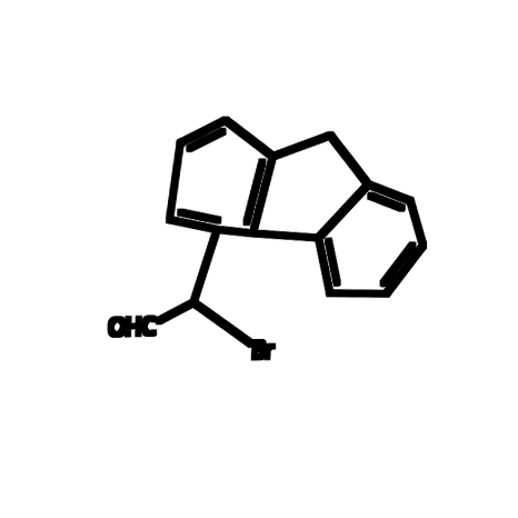 O=CC(Br)c1cccc2c1-c1ccccc1C2